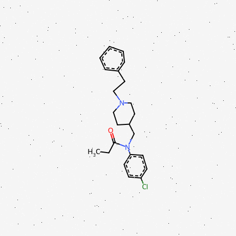 CCC(=O)N(CC1CCN(CCc2ccccc2)CC1)c1ccc(Cl)cc1